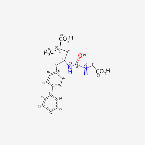 C[C@H](CC(Cc1ccc(-c2ccccc2)cc1)NC(=O)NCC(=O)O)C(=O)O